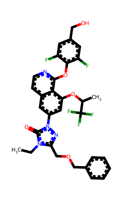 CCn1c(COCc2ccccc2)nn(-c2cc(OC(C)C(F)(F)F)c3c(Oc4c(F)cc(CO)cc4F)nccc3c2)c1=O